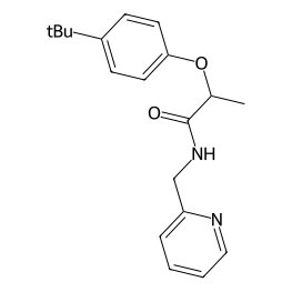 CC(Oc1ccc(C(C)(C)C)cc1)C(=O)NCc1ccccn1